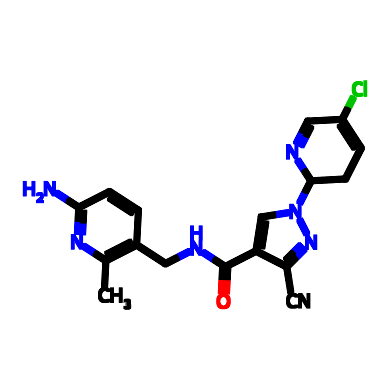 Cc1nc(N)ccc1CNC(=O)c1cn(C2CC=C(Cl)C=N2)nc1C#N